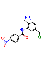 NCc1ccc(CCl)cc1NC(=O)c1ccc([N+](=O)[O-])cc1